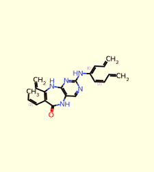 C=C/C=C\C(=C/C=C)Nc1ncc2c(n1)NC(C=C)=C(/C=C\C)C(=O)N2